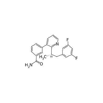 C[C@@H](Cc1cc(F)cc(F)c1)c1ncccc1-c1cccc(C(N)=O)c1